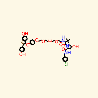 CC(C)(C)[C@H](NC(=O)COCCOCCOCCOc1ccc(Oc2c(-c3ccc(O)cc3)sc3cc(O)ccc23)cc1)C(=O)N1C[C@H](O)C[C@H]1C(=O)NCc1ccc(Cl)cc1